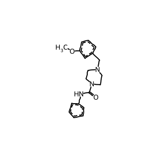 COc1cccc(CN2CCN(C(=O)Nc3ccccc3)CC2)c1